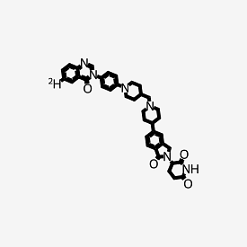 [2H]c1ccc2ncn(-c3ccc(N4CCC(CN5CCC(c6ccc7c(c6)CN(C6CCC(=O)NC6=O)C7=O)CC5)CC4)cc3)c(=O)c2c1